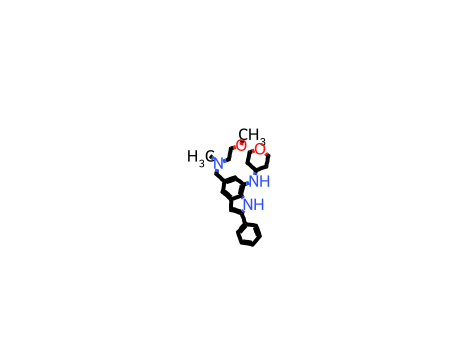 COCCN(C)Cc1cc(NC2CCOCC2)c2[nH]c(-c3ccccc3)cc2c1